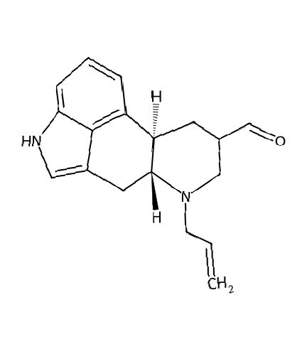 C=CCN1CC(C=O)C[C@@H]2c3cccc4[nH]cc(c34)C[C@H]21